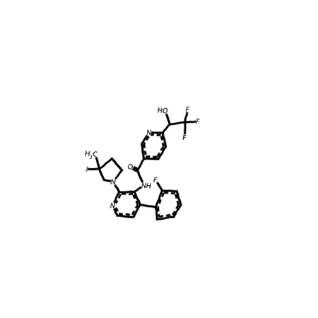 CC1(I)CCN(c2nccc(-c3ccccc3F)c2NC(=O)c2ccc(C(O)C(F)(F)F)nc2)C1